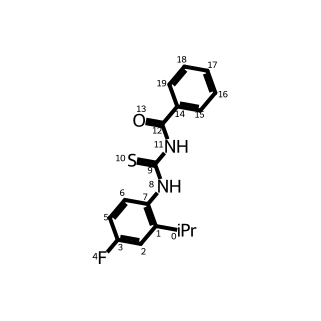 CC(C)c1cc(F)ccc1NC(=S)NC(=O)c1ccccc1